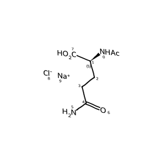 CC(=O)N[C@@H](CCC(N)=O)C(=O)O.[Cl-].[Na+]